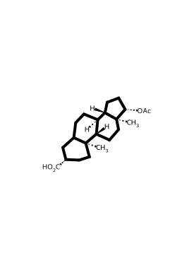 CC(=O)O[C@H]1CC[C@H]2[C@@H]3CCC4C[C@@H](C(=O)O)CC[C@]4(C)[C@H]3CC[C@]12C